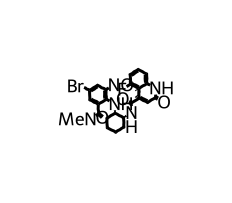 CNC(=O)c1cc(Br)cc([N+](=O)[O-])c1N[C@@H]1CCCC[C@@H]1NC(=O)c1cc(=O)[nH]c2cccc(F)c12